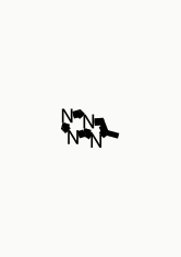 Cc1cn2cncnc2n1